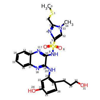 CSCc1nc(S(=O)(=O)Nc2nc3ccccc3nc2Nc2cc(O)ccc2CCCO)cn1C